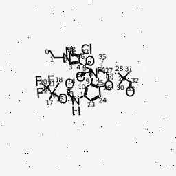 CCn1cc(S(=O)(=O)N2c3cc(NC(=O)OC(C)(C)C(F)(F)F)ccc3O[C@@H](CC(C)(C)C=O)[C@H]2C)c(Cl)n1